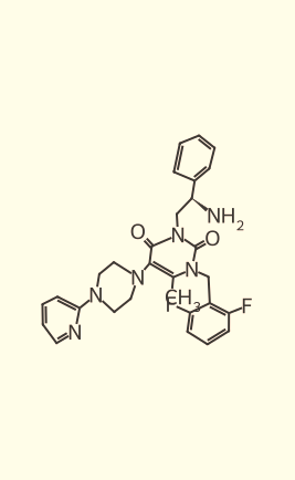 Cc1c(N2CCN(c3ccccn3)CC2)c(=O)n(C[C@H](N)c2ccccc2)c(=O)n1Cc1c(F)cccc1F